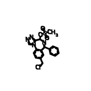 CS(=O)(=O)OC1N=C(c2ccccc2)c2cc(CCl)ccc2-n2cnnc21